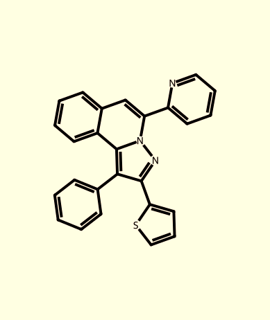 c1ccc(-c2c(-c3cccs3)nn3c(-c4ccccn4)cc4ccccc4c23)cc1